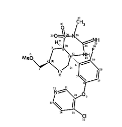 COC[C@H]1C[C@@H]2[C@](c3cc(Oc4cnccc4Cl)ccc3F)(CO1)NC(=N)N(C)S2(=O)=O